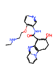 CCNCCOc1ccncc1NC(=O)C1=C(O)CCc2c1nc1ccccn21